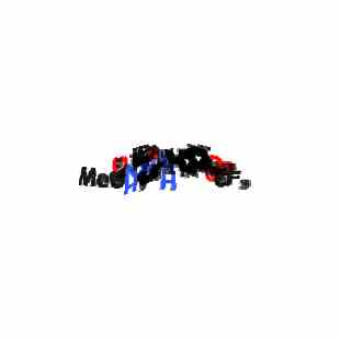 COC(=O)N[C@H](C(=O)N1CCC[C@H]1c1ncc(-c2ccc3cc(OS(=O)(=O)C(F)(F)F)ccc3c2)[nH]1)C(C)C